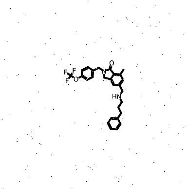 Cc1cc(CNCCCc2ccccc2)cc2c1C(=O)N(Cc1ccc(OC(F)(F)F)cc1)C2